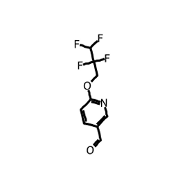 O=Cc1ccc(OCC(F)(F)C(F)F)nc1